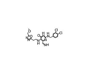 COCc1nnc(CCNc2c(C=N)nc(NCc3ccc(Cl)c(Cl)c3)[nH]c2=O)o1